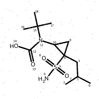 CC(C)CC1(S(N)(=O)=O)CC1N(C(=O)O)C(C)(C)C